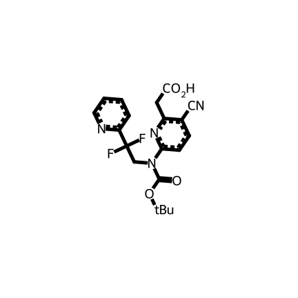 CC(C)(C)OC(=O)N(CC(F)(F)c1ccccn1)c1ccc(C#N)c(CC(=O)O)n1